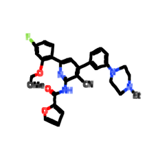 CCN1CCN(c2cccc(-c3cc(-c4ccc(F)cc4OCOC)nc(NC(=O)c4ccco4)c3C#N)c2)CC1